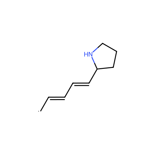 [CH2]C=CC=CC1CCCN1